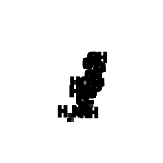 N=C(N)c1ccc(NC(=O)[C@H](O)C2OCCN(c3cccc(C(=O)O)c3)C2=O)cc1F